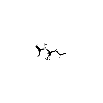 C=C(C)NC(=O)CCC